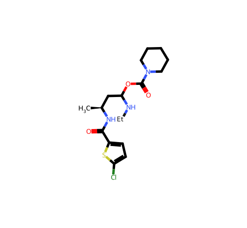 CCNC(C[C@H](C)NC(=O)c1ccc(Cl)s1)OC(=O)N1CCCCC1